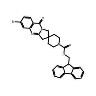 O=C(OCC1c2ccccc2-c2ccccc21)N1CCC2(CC1)Cc1nc3cc(Br)ccc3c(=O)n1C2